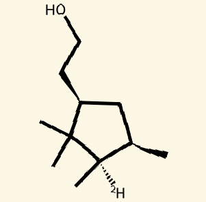 [2H][C@@]1(C)[C@H](C)C[C@H](CCO)C1(C)C